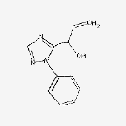 C=CC(O)c1ncnn1-c1ccccc1